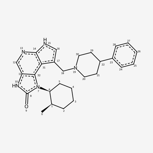 C[C@@H]1CCCC[C@@H]1n1c(=O)[nH]c2cnc3[nH]cc(CN4CCC(c5ccccc5)CC4)c3c21